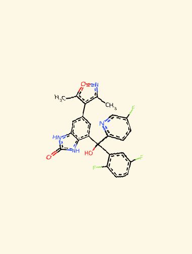 Cc1noc(C)c1-c1cc(C(O)(c2ccc(F)cn2)c2cc(F)ccc2F)c2[nH]c(=O)[nH]c2c1